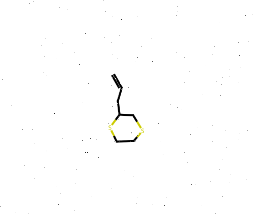 C=CCC1CS[CH][CH]S1